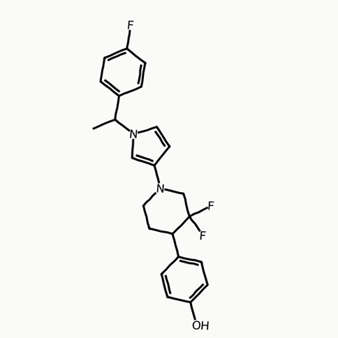 CC(c1ccc(F)cc1)n1ccc(N2CCC(c3ccc(O)cc3)C(F)(F)C2)c1